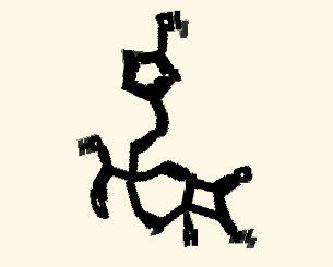 Cc1ncc(SCC2(C(=O)O)CS[C@@H]3C(N)C(=O)N3C2)s1